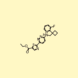 CCOC(=O)c1cnc(-c2ccc(NCC3(c4ncccc4F)CCC3)nn2)s1